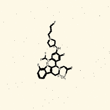 C[C@@H]1Cc2c([nH]c3c(F)cccc23)C(c2cc(F)c(N[C@H]3CCN(CCCF)C3)cc2OC(F)F)N1CC(F)F